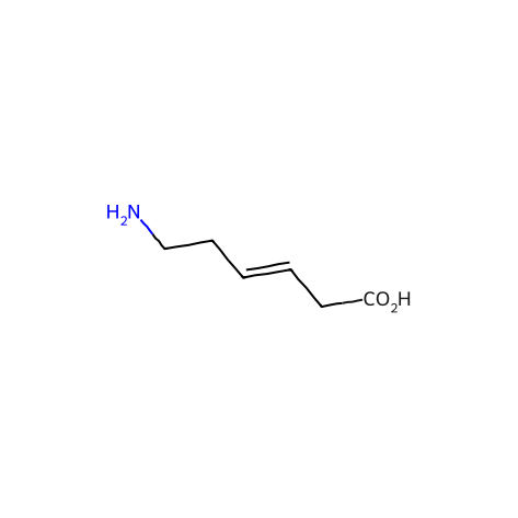 NCCC=CCC(=O)O